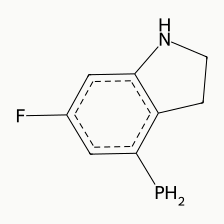 Fc1cc(P)c2c(c1)NCC2